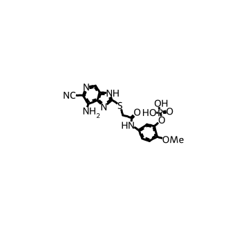 COc1ccc(NC(=O)CSc2nc3c(N)c(C#N)ncc3[nH]2)cc1OP(=O)(O)O